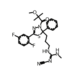 CN/C(=N/C#N)NCCCC1(c2ccccc2)SC(c2cc(F)ccc2F)=NN1C(=O)C(C)(C)OC